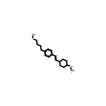 [CH2+][CH-]COCCCCc1ccc(C=CC2CCC(OCCCC)CC2)cc1